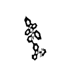 c1ccc([Si](c2ccccc2)(c2cccc(-c3ccc4c(c3)c3ccccc3n4-c3ncccn3)n2)c2cccc3c2oc2ccccc23)cc1